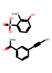 CC(=O)Nc1c(O)cccc1[As](=O)(O)O.CCCC#Cc1cccc(C(=O)OC)c1